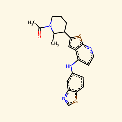 CC(=O)N1CCCC(c2cc3c(Nc4ccc5scnc5c4)ccnc3s2)C1C